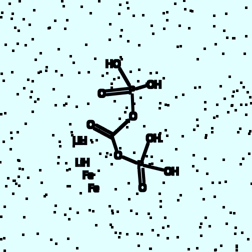 O=C(OP(=O)(O)O)OP(=O)(O)O.[Fe].[Fe].[LiH].[LiH]